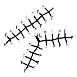 C=C(C(F)(F)C(F)(F)C(F)(F)C(F)(F)F)C(F)(F)C(F)(F)C(F)(F)C(F)(F)F.FC(F)(F)C(F)(F)C(F)(F)C(F)(F)C(F)(F)C(F)(F)C(F)(F)C(F)(F)F